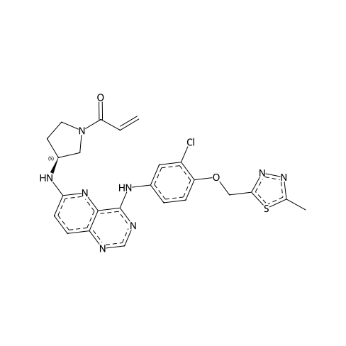 C=CC(=O)N1CC[C@H](Nc2ccc3ncnc(Nc4ccc(OCc5nnc(C)s5)c(Cl)c4)c3n2)C1